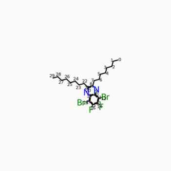 CCCCCCCCc1nc2c(Br)c(F)c(F)c(Br)c2nc1CCCCCCCC